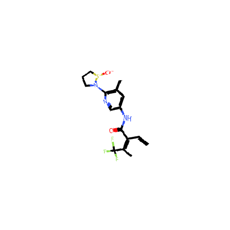 C=C/C(C(=O)Nc1cnc(N2CCC[S+]2[O-])c(C)c1)=C(\C)C(F)(F)F